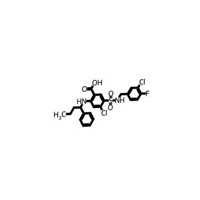 CCCC(Nc1cc(Cl)c(S(=O)(=O)NCc2ccc(F)c(Cl)c2)cc1C(=O)O)c1ccccc1